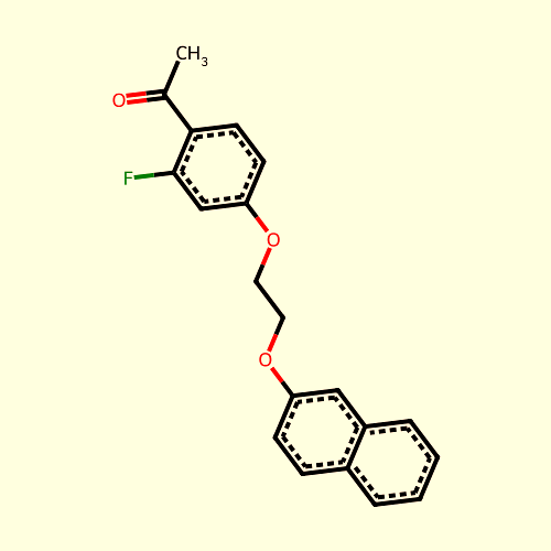 CC(=O)c1ccc(OCCOc2ccc3ccccc3c2)cc1F